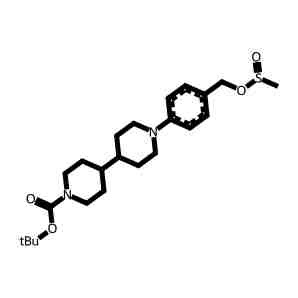 CS(=O)OCc1ccc(N2CCC(C3CCN(C(=O)OC(C)(C)C)CC3)CC2)cc1